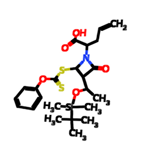 C=CCC(C(=O)O)N1C(=O)C(C(C)O[Si](C)(C)C(C)(C)C)C1SC(=S)Oc1ccccc1